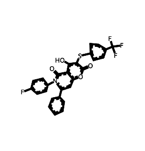 O=c1oc2cc(-c3ccccc3)n(-c3ccc(F)cc3)c(=O)c2c(O)c1Sc1ccc(C(F)(F)F)cc1